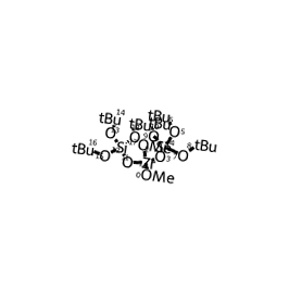 C[O][Zr]([O]C)([O][Si](OC(C)(C)C)(OC(C)(C)C)OC(C)(C)C)[O][Si](OC(C)(C)C)(OC(C)(C)C)OC(C)(C)C